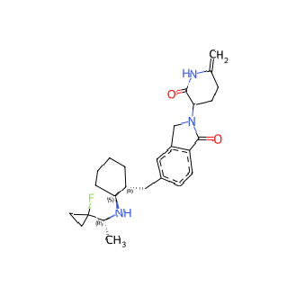 C=C1CCC(N2Cc3cc(C[C@H]4CCCC[C@@H]4N[C@H](C)C4(F)CC4)ccc3C2=O)C(=O)N1